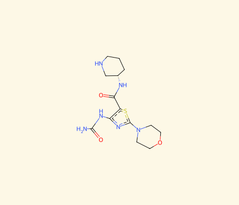 NC(=O)Nc1nc(N2CCOCC2)sc1C(=O)N[C@H]1CCCNC1